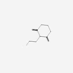 CC(=O)CCC1C(=O)CCCC1=O